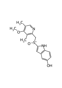 COc1c(C)cnc(C[S+]([O-])c2cc3cc(O)ccc3[nH]2)c1C